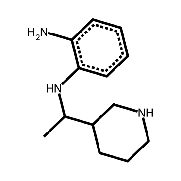 CC(Nc1ccccc1N)C1CCCNC1